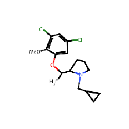 COc1c(Cl)cc(Cl)cc1OC(C)C1CCCN1CC1CC1